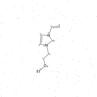 C=CN1C=CN(CCOCC)C1